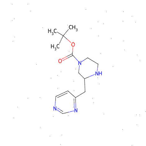 CC(C)(C)OC(=O)N1CCNC(Cc2ccncn2)C1